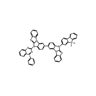 CS1(C)c2ccccc2-c2ccc(-n3c4ccc(-c5ccc6c(c5)n5c7ccccc7nc5n6-c5nc(-c6ccccc6)c6ccccc6n5)cc4n4c5ccccc5nc34)cc21